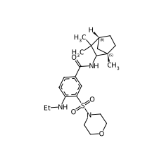 CCNc1ccc(C(=O)NC2C(C)(C)[C@@H]3CC[C@@]2(C)C3)cc1S(=O)(=O)N1CCOCC1